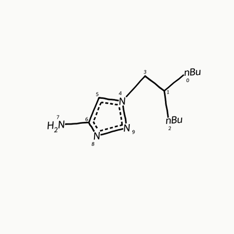 CCCCC(CCCC)Cn1cc(N)nn1